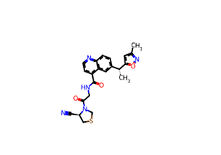 Cc1cc([C@H](C)c2ccc3nccc(C(=O)NCC(=O)N4CSC[C@H]4C#N)c3c2)on1